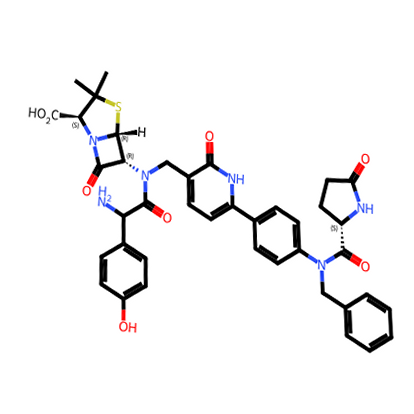 CC1(C)S[C@@H]2[C@H](N(Cc3ccc(-c4ccc(N(Cc5ccccc5)C(=O)[C@@H]5CCC(=O)N5)cc4)[nH]c3=O)C(=O)C(N)c3ccc(O)cc3)C(=O)N2[C@H]1C(=O)O